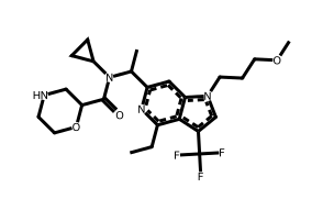 CCc1nc(C(C)N(C(=O)C2CNCCO2)C2CC2)cc2c1c(C(F)(F)F)cn2CCCOC